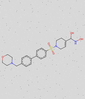 O=S(=O)(c1ccc(-c2ccc(CN3CCOCC3)cc2)cc1)N1CC=C(C(O)NO)CC1